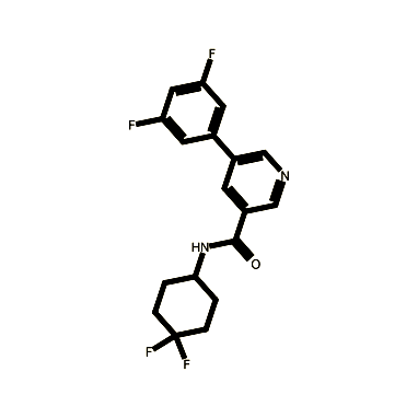 O=C(NC1CCC(F)(F)CC1)c1cncc(-c2cc(F)cc(F)c2)c1